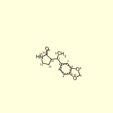 CC(c1ccc2c(c1)OCO2)C1CCNC1=O